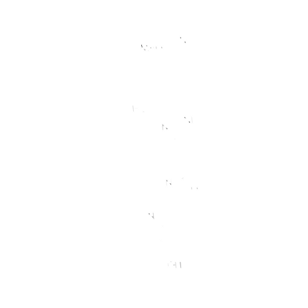 COc1ncccc1-c1ccc(O)c(-c2nc3cc(C(=O)NCCN4CCCC(CO)C4)ccc3[nH]2)c1